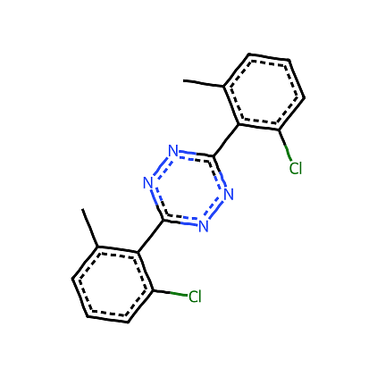 Cc1cccc(Cl)c1-c1nnc(-c2c(C)cccc2Cl)nn1